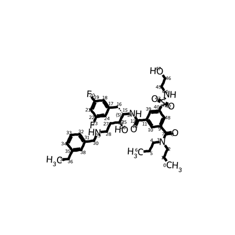 CCCN(CCC)C(=O)c1cc(C(=O)N[C@@H](Cc2cc(F)cc(F)c2)[C@@H](O)CCNCc2cccc(CC)c2)cc(S(=O)(=O)NCCO)c1